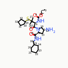 CCOC(=O)N[C@@H](C(=O)N1C[C@H](N)C[C@H]1C(=O)NCC1CCCCC1)C(C)(C)SC1CCCC1